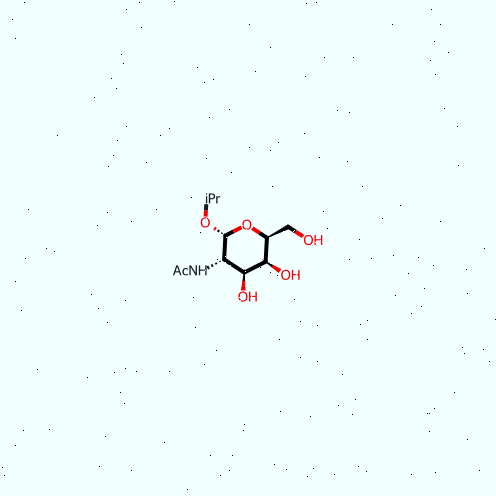 CC(=O)N[C@@H]1[C@H](OC(C)C)O[C@@H](CO)[C@@H](O)[C@H]1O